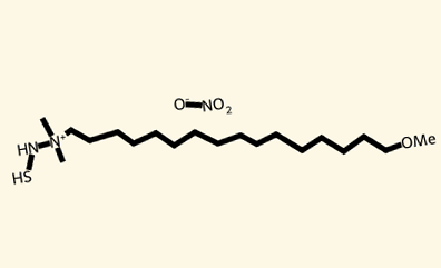 COCCCCCCCCCCCCCCCC[N+](C)(C)NS.O=[N+]([O-])[O-]